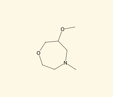 COC1COCCN(C)C1